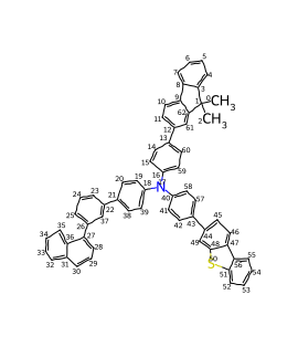 CC1(C)c2ccccc2-c2ccc(-c3ccc(N(c4ccc(-c5cccc(-c6cccc7ccccc67)c5)cc4)c4ccc(-c5ccc6c(c5)sc5ccccc56)cc4)cc3)cc21